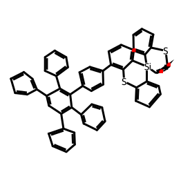 c1ccc(-c2cc(-c3ccccc3)c(-c3ccccc3)c(-c3ccc(-c4cccc5c4Sc4ccccc4[Si]54c5ccccc5Sc5ccccc54)cc3)c2-c2ccccc2)cc1